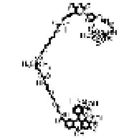 CC(C)(CCOC(=O)NCCOCCOCCNC(=O)c1ccc(C(=O)O)c(-c2c3ccc(=N)c(S(=O)(=O)O)c-3oc3c(S(=O)(=O)O)c(N)ccc23)c1)SSCOCCCCCNC(=O)NCC#CC1CN([C@H]2C[C@H](OCN=[N+]=[N-])[C@@H](COP(=O)(O)OP(=O)(O)OP(=O)(O)O)O2)C(=O)N=C1N